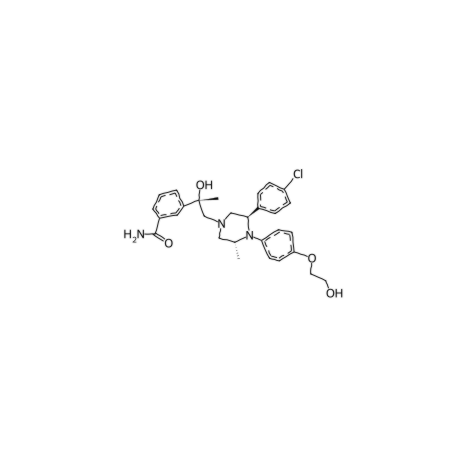 C[C@@H]1CN(C[C@@](C)(O)c2cccc(C(N)=O)c2)C[C@@H](c2ccc(Cl)cc2)N1c1ccc(OCCO)cc1